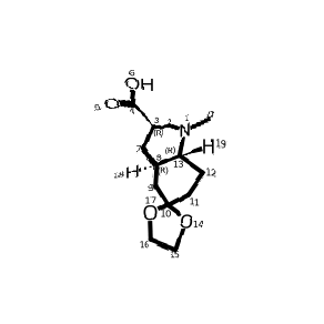 CN1C[C@H](C(=O)O)C[C@@H]2CC3(CC[C@H]21)OCCO3